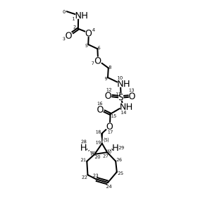 CNC(=O)OCCOCCNS(=O)(=O)NC(=O)OC[C@@H]1[C@@H]2CCC#CCC[C@@H]21